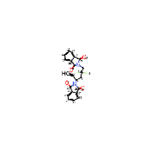 C#CC(CC(F)(F)CN1C(=O)c2ccccc2C1=O)N1C(=O)c2ccccc2C1=O